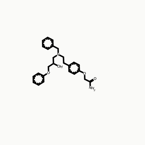 NC(=O)COc1ccc(CCN(Cc2ccccc2)CC(O)COc2ccccc2)cc1